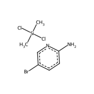 C[Si](C)(Cl)Cl.Nc1ccc(Br)cn1